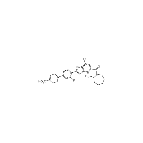 CCc1cc(C(=O)N2CCCCC[C@H]2C)nc2cc(-c3ccc(N4CC=C(C(=O)O)CC4)cc3F)nn12